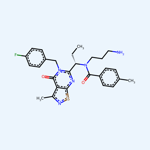 CC[C@@H](c1nc2snc(C)c2c(=O)n1Cc1ccc(F)cc1)N(CCCN)C(=O)c1ccc(C)cc1